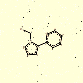 CC(C)Cn1n[c]cc1-c1ccccc1